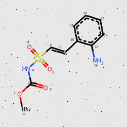 CC(C)(C)OC(=O)NS(=O)(=O)/C=C/c1ccccc1N